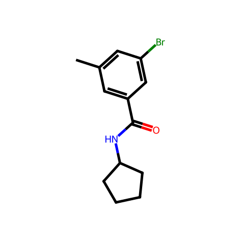 Cc1cc(Br)cc(C(=O)NC2CCCC2)c1